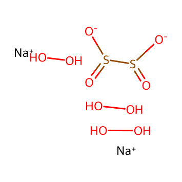 O=S([O-])S(=O)[O-].OO.OO.OO.[Na+].[Na+]